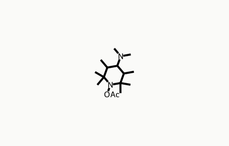 CC(=O)ON1C(C)(C)C(C)C(N(C)C)C(C)C1(C)C